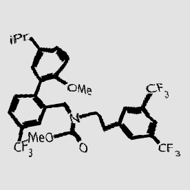 COC(=O)N(CCc1cc(C(F)(F)F)cc(C(F)(F)F)c1)Cc1cc(C(F)(F)F)ccc1-c1cc(C(C)C)ccc1OC